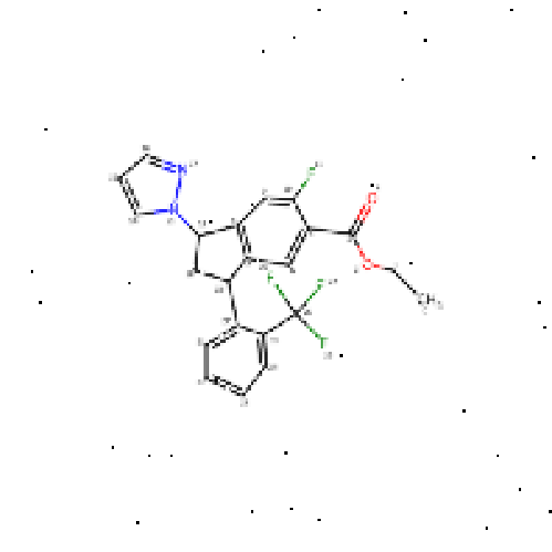 CCOC(=O)c1cc2c(cc1F)C(n1cccn1)CC2c1ccccc1C(F)(F)F